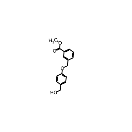 COC(=O)c1cccc(COc2ccc(CO)cc2)c1